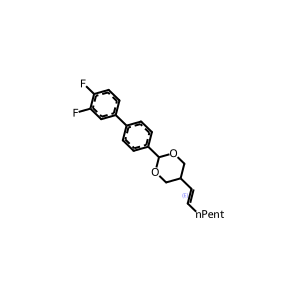 CCCCC/C=C/C1COC(c2ccc(-c3ccc(F)c(F)c3)cc2)OC1